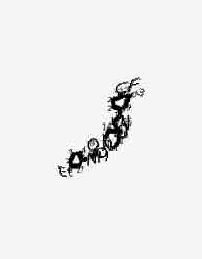 CCc1cccc(NC(=O)ON2CCC3(CC2)CC(c2ccc(C(F)(F)F)cc2)=NO3)c1